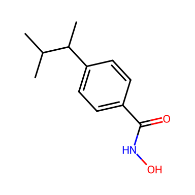 CC(C)C(C)c1ccc(C(=O)NO)cc1